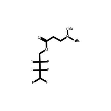 CCCCN(CCCC)CCC(=O)OCC(F)(F)C(F)(F)C(F)F